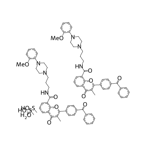 COc1ccccc1N1CCN(CCCNC(=O)c2cccc3c(=O)c(C)c(-c4ccc(C(=O)c5ccccc5)cc4)oc23)CC1.COc1ccccc1N1CCN(CCCNC(=O)c2cccc3c(=O)c(C)c(-c4ccc(C(=O)c5ccccc5)cc4)oc23)CC1.CS(=O)(=O)O.CS(=O)(=O)O.O